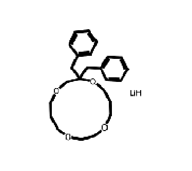 [LiH].c1ccc(CC2(Cc3ccccc3)COCCCOCCOCCCO2)cc1